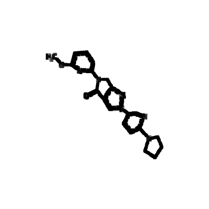 COc1cccc(N2Cc3nn(-c4ccc(N5CCCC5)nc4)cc3C2=O)n1